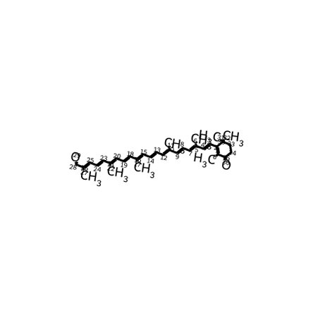 CC1=C(/C=C/C(C)=C/C=C/C(C)=C/C=C/C=C(C)/C=C/C=C(C)/C=C/C=C(\C)C=O)C(C)(C)CCC1=O